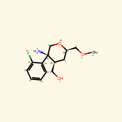 CCCCOC[C@H]1C[C@@H](CO)[C@](N)(c2ccccc2F)CO1